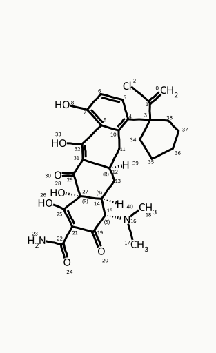 C=C(Cl)C1(c2ccc(O)c3c2C[C@H]2C[C@H]4[C@H](N(C)C)C(=O)C(C(N)=O)=C(O)[C@@]4(O)C(=O)C2=C3O)CCCCC1